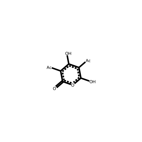 CC(=O)c1c(O)oc(=O)c(C(C)=O)c1O